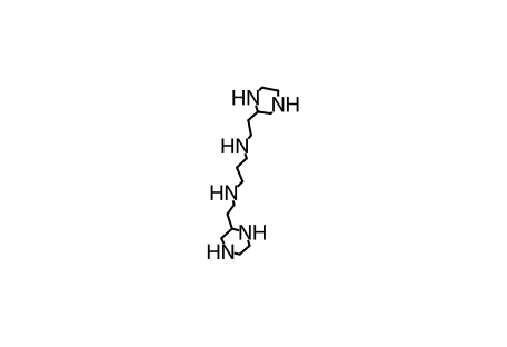 C(CNCCC1CNCCN1)CNCCC1CNCCN1